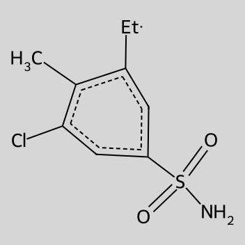 C[CH]c1cc(S(N)(=O)=O)cc(Cl)c1C